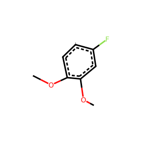 COc1c[c]c(F)cc1OC